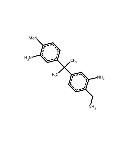 CNc1ccc(C(c2ccc(CN)c(N)c2)(C(F)(F)F)C(F)(F)F)cc1N